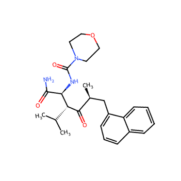 CC(C)[C@@H](C(=O)[C@@H](C)Cc1cccc2ccccc12)[C@H](NC(=O)N1CCOCC1)C(N)=O